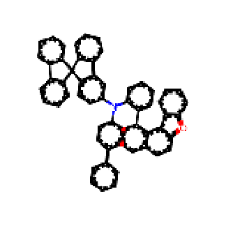 c1ccc(-c2ccc(N(c3ccc4c(c3)-c3ccccc3C43c4ccccc4-c4ccccc43)c3ccccc3-c3cccc4ccc5oc6ccccc6c5c34)cc2)cc1